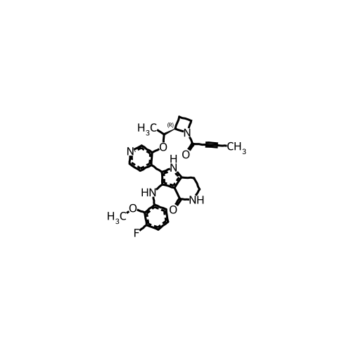 CC#CC(=O)N1CC[C@@H]1C(C)Oc1cnccc1-c1[nH]c2c(c1Nc1cccc(F)c1OC)C(=O)NCC2